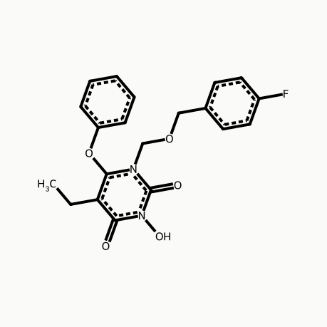 CCc1c(Oc2ccccc2)n(COCc2ccc(F)cc2)c(=O)n(O)c1=O